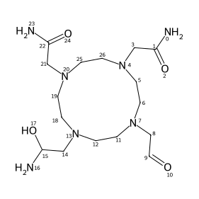 NC(=O)CN1CCN(CC=O)CCN(CC(N)O)CCN(CC(N)=O)CC1